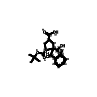 CC(C)(C)OC(=O)N1CC(C(=O)O)CC1(C(=O)O)C(O)c1ccccc1Br